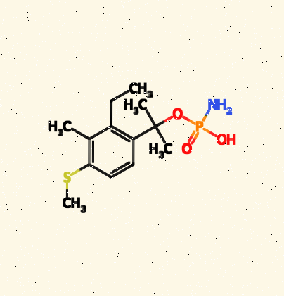 CCc1c(C(C)(C)OP(N)(=O)O)ccc(SC)c1C